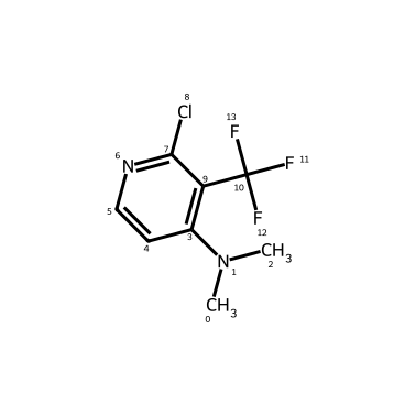 CN(C)c1ccnc(Cl)c1C(F)(F)F